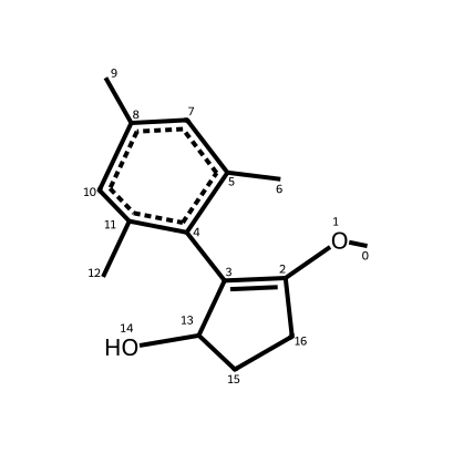 COC1=C(c2c(C)cc(C)cc2C)C(O)CC1